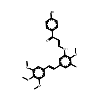 COc1cc(C=Cc2cc(F)c(OC)c(NC=CC(=O)c3ccc(O)cc3)c2)cc(OC)c1OC